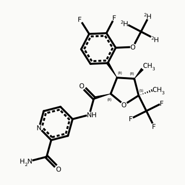 [2H]C([2H])([2H])Oc1c([C@H]2[C@@H](C)[C@@](C)(C(F)(F)F)O[C@H]2C(=O)Nc2ccnc(C(N)=O)c2)ccc(F)c1F